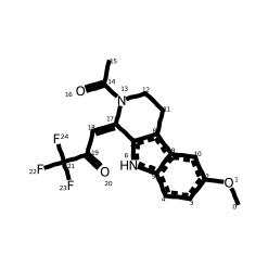 COc1ccc2[nH]c3c(c2c1)CCN(C(C)=O)C3=CC(=O)C(F)(F)F